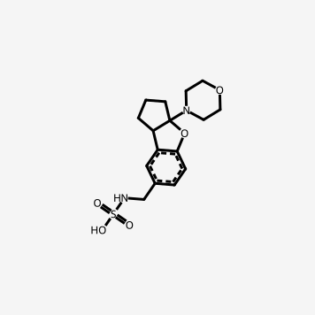 O=S(=O)(O)NCc1ccc2c(c1)C1CCCC1(N1CCOCC1)O2